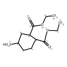 O=C(OCC(F)(F)F)C1CCC(S(=O)(=O)O)CC1C(=O)OCC(F)(F)F